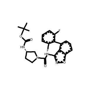 CC(C)(C)OC(=O)N[C@H]1CCN(C(=O)Nc2noc3cccc(-c4c(F)cccc4F)c23)C1